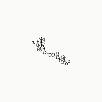 COC(=O)NC(C(=O)N1CCC[C@H]1c1ncc(-c2ccc3cc(-c4ccc(-c5cnc([C@@H]6CC(C#N)CN6C(=O)[C@@H](NC(=O)OC)C(C)C)[nH]5)cc4)ccc3c2)[nH]1)C(C)C